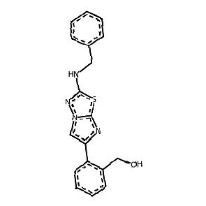 OCc1ccccc1-c1cn2nc(NCc3ccccc3)sc2n1